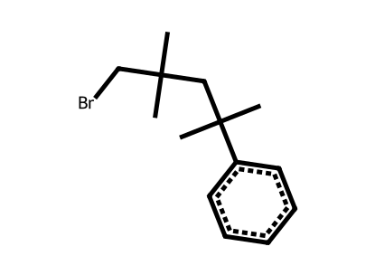 CC(C)(CBr)CC(C)(C)c1ccccc1